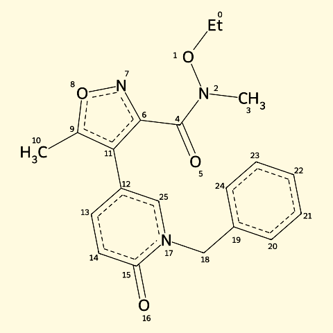 CCON(C)C(=O)c1noc(C)c1-c1ccc(=O)n(Cc2ccccc2)c1